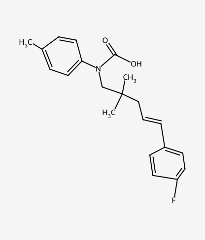 Cc1ccc(N(CC(C)(C)CC=Cc2ccc(F)cc2)C(=O)O)cc1